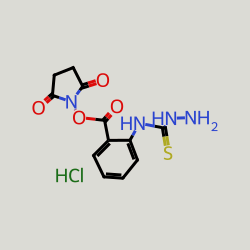 Cl.NNC(=S)Nc1ccccc1C(=O)ON1C(=O)CCC1=O